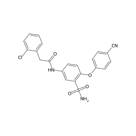 N#Cc1ccc(Oc2ccc(NC(=O)Cc3ccccc3Cl)cc2S(N)(=O)=O)cc1